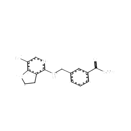 CNC(=O)c1cccc(CNc2ncc(Br)c3c2CCO3)c1